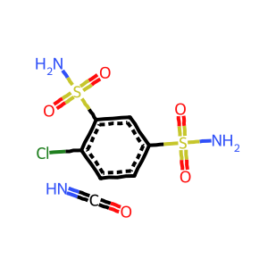 N=C=O.NS(=O)(=O)c1ccc(Cl)c(S(N)(=O)=O)c1